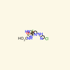 Cc1cc(Cl)cnc1CNc1ccc(F)c([C@@]2(C)N=C(NC(=O)O)C(C)(C)[SH]3(=O)NCC[C@H]23)n1